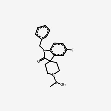 CB(O)N1CCC2(CC1)C(=O)N(Cc1ccccc1)c1ccc(F)cc12